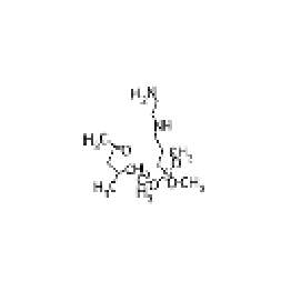 CC(=O)CC(C)C.CO[Si](CCCNCCN)(OC)OC